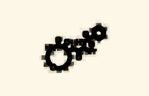 CC(C)C(NS(=O)(=O)c1ccccc1)C(=O)NC1CCCCOCCCNC(=O)C1=O